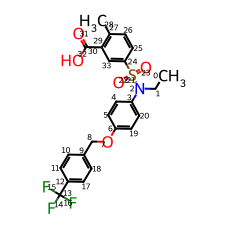 CCN(c1ccc(OCc2ccc(C(F)(F)F)cc2)cc1)S(=O)(=O)c1ccc(C)c(C(=O)O)c1